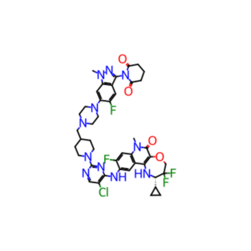 Cn1nc(N2C(=O)CCCC2=O)c2cc(F)c(N3CCN(CC4CCN(c5ncc(Cl)c(Nc6cc7c8c(c(=O)n(C)c7cc6F)OCC(F)(F)[C@H](C6CC6)N8)n5)CC4)CC3)cc21